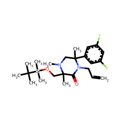 C=CCN1C(=O)C(C)(CO[Si](C)(C)C(C)(C)C)N(C)CC1(C)c1cc(F)cc(F)c1